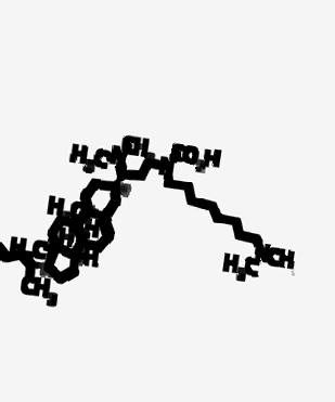 CC(C)CCCC(C)[C@H]1CC[C@H]2[C@@H]3CC=C4C[C@@H](C(CCN(CCCCCCCCN(C)C)C(=O)O)N(C)C)CC[C@]4(C)[C@H]3CC[C@]12C